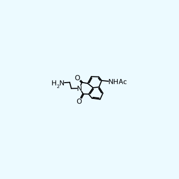 CC(=O)Nc1ccc2c3c(cccc13)C(=O)N(CCN)C2=O